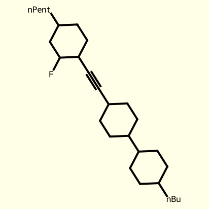 CCCCCC1CCC(C#CC2CCC(C3CCC(CCCC)CC3)CC2)C(F)C1